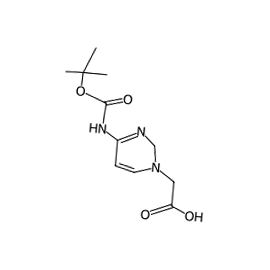 CC(C)(C)OC(=O)NC1=NCN(CC(=O)O)C=C1